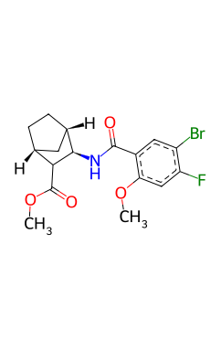 COC(=O)C1[C@@H]2CC[C@@H](C2)[C@H]1NC(=O)c1cc(Br)c(F)cc1OC